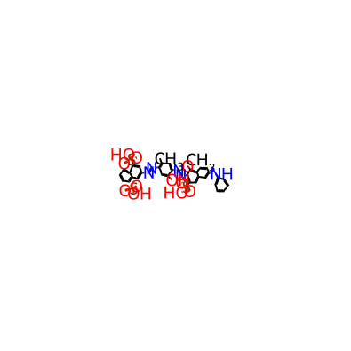 COc1c(N=Nc2cc(C)c(N=Nc3cc(S(=O)(=O)O)c4cccc(S(=O)(=O)O)c4c3)cc2O)c(S(=O)(=O)O)cc2cc(Nc3ccccc3)ccc12